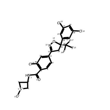 O=C(NC1C[S+]([O-])C1)c1ccc(C2=NO[C@@](c3cc(Cl)cc(Cl)c3)(C(F)(F)F)C2)cc1Cl